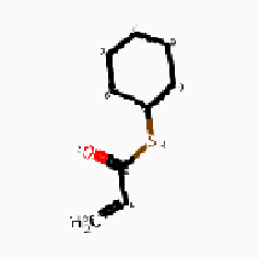 C=CC(=O)SC1CCCCC1